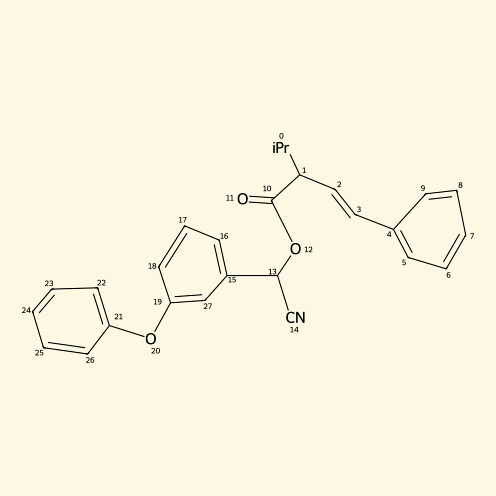 CC(C)C(C=Cc1ccccc1)C(=O)OC(C#N)c1cccc(Oc2ccccc2)c1